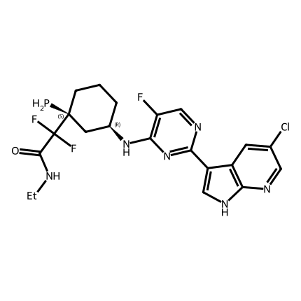 CCNC(=O)C(F)(F)[C@]1(P)CCC[C@@H](Nc2nc(-c3c[nH]c4ncc(Cl)cc34)ncc2F)C1